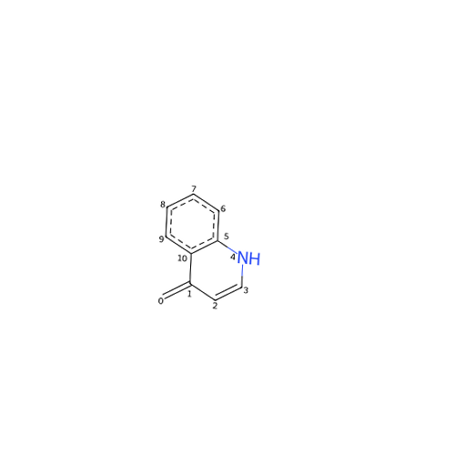 C=C1C=CNc2ccccc21